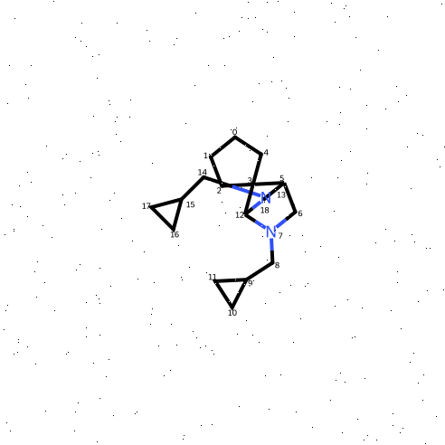 C1CCC2(C1)C1CN(CC3CC3)C2N(CC2CC2)C1